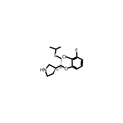 CC(C)SC[C@H](Oc1cccc(F)c1Cl)[C@H]1CCNC1